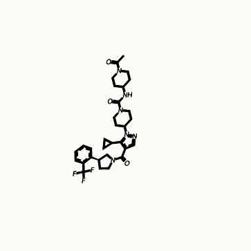 CC(=O)N1CCC(NC(=O)N2CCC(n3ncc(C(=O)N4CC[C@@H](c5ccccc5C(F)(F)F)C4)c3C3CC3)CC2)CC1